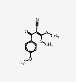 COc1ccc(C(=O)C(C#N)=C(SC)SC)cc1